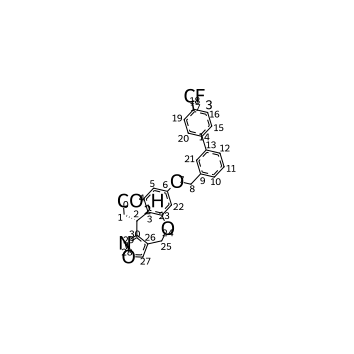 O=C(O)C[C@@H]1c2ccc(OCc3cccc(-c4ccc(C(F)(F)F)cc4)c3)cc2OCc2conc21